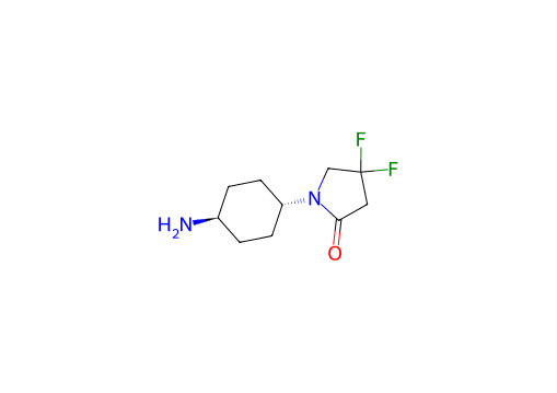 N[C@H]1CC[C@H](N2CC(F)(F)CC2=O)CC1